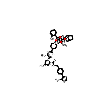 Cc1ncsc1-c1ccc(CNC(=O)[C@@H]2C[C@@H](O)CN2C(=O)[C@@H](NC(=O)C2CCN(Cc3cnc(N4C5CCC4CN(c4cc(-c6ccccc6O)nnc4N)C5)nc3)CC2)C(C)(C)C)cc1